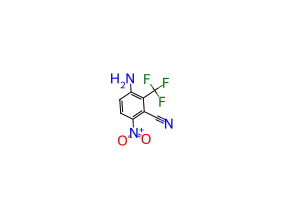 N#Cc1c([N+](=O)[O-])ccc(N)c1C(F)(F)F